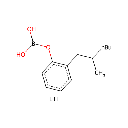 CCCCC(C)Cc1ccccc1OB(O)O.[LiH]